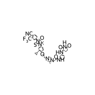 CC1CN(CCOc2ccc(N3C(=S)N(c4ccc(C#N)c(C(F)(F)F)c4)C(=O)C3(C)C)cc2C2CC2)CCN1CC(=O)Nc1cccc(NC2CCC(=O)NC2=O)c1